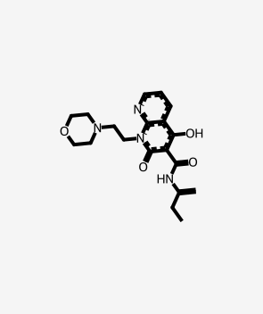 C=C(CC)NC(=O)c1c(O)c2cccnc2n(CCN2CCOCC2)c1=O